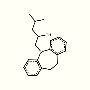 CN(C)CC(O)CN1c2ccccc2CCc2ccccc21